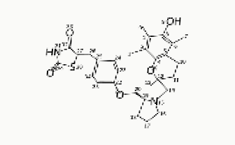 Cc1c(C)c2c(c(C)c1O)CCC(C)(CN1CCC[C@H]1COc1ccc(CC3SC(=O)NC3=O)cc1)O2